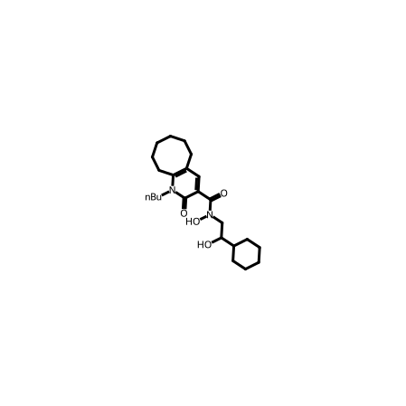 CCCCn1c2c(cc(C(=O)N(O)CC(O)C3CCCCC3)c1=O)CCCCCC2